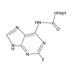 CCCCCCCC(=O)Nc1nc(F)nc2[nH]cnc12